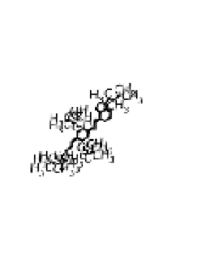 CC(C)C[C@@H](C)C1CCC2/C(=C/C=C3\C[C@@H](CC(C)(C)[Si](C)(C)O)/C(=C/CCO[Si](C)(C)C(C)(C)C)[C@H](O[Si](C)(C)C(C)(C)C)C3)CCC[C@@]21C